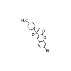 CCc1ccc2cc(S(=O)(=O)N3CCC(C)CC3)c(=O)oc2c1